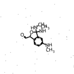 CNc1ccc2c(c1)C(NC)(NC)OC2C=O